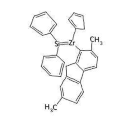 Cc1ccc2c(c1)Cc1c-2ccc(C)[c]1[Zr]([C]1=CC=CC1)=[Si](c1ccccc1)c1ccccc1